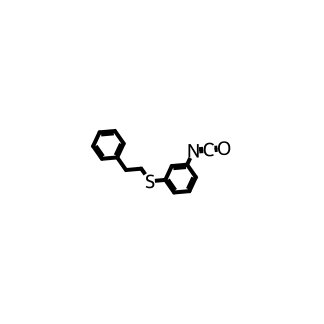 O=C=Nc1cccc(SCCc2ccccc2)c1